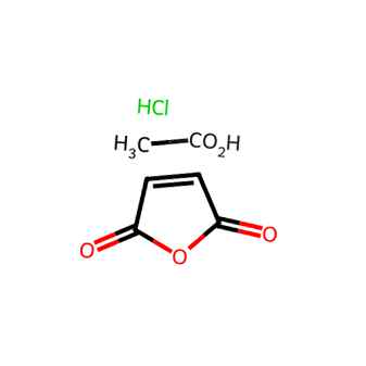 CC(=O)O.Cl.O=C1C=CC(=O)O1